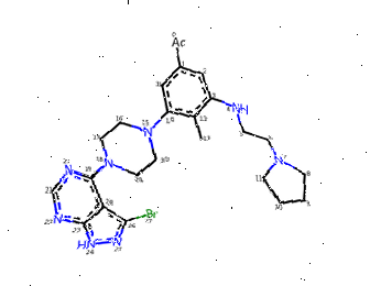 CC(=O)c1cc(NCCN2CCCC2)c(C)c(N2CCN(c3ncnc4[nH]nc(Br)c34)CC2)c1